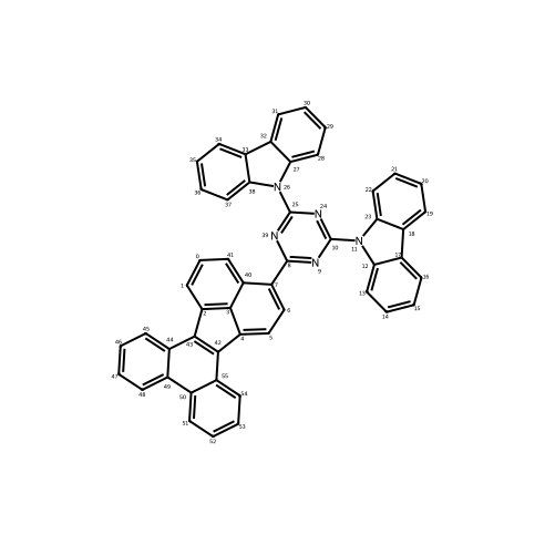 c1cc2c3c(ccc(-c4nc(-n5c6ccccc6c6ccccc65)nc(-n5c6ccccc6c6ccccc65)n4)c3c1)-c1c-2c2ccccc2c2ccccc12